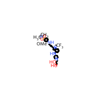 COc1cc(S(=O)(=O)N(C)C)ccc1NCC#Cc1cc2c(NC3CCN(CC(O)CO)CC3)cccc2n1CC(F)(F)F